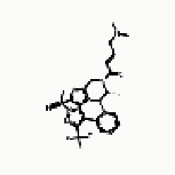 CCn1cc(-c2ccccc2[C@H]2c3cc(C#N)sc3CN(C(=O)/C=C/CN(C)C)[C@@H]2C)c(C(F)(F)F)n1